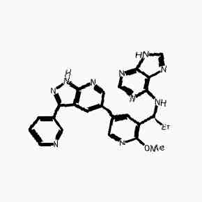 CC[C@H](Nc1ncnc2[nH]cnc12)c1cc(-c2cnc3[nH]nc(-c4cccnc4)c3c2)cnc1OC